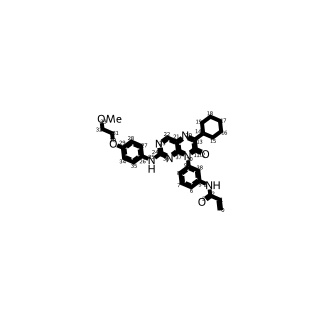 C=CC(=O)Nc1cccc(-n2c(=O)c(C3CCCCC3)nc3cnc(Nc4ccc(OCCOC)cc4)nc32)c1